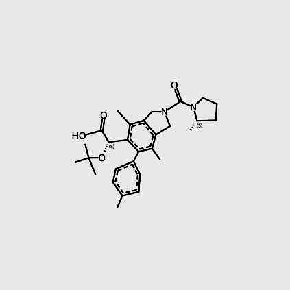 Cc1ccc(-c2c(C)c3c(c(C)c2[C@H](OC(C)(C)C)C(=O)O)CN(C(=O)N2CCC[C@@H]2C)C3)cc1